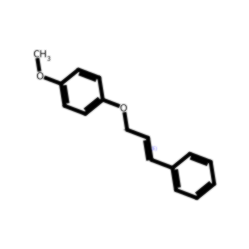 COc1ccc(O[CH]/C=C/c2ccccc2)cc1